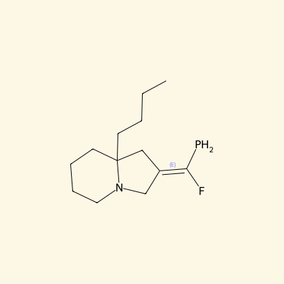 CCCCC12CCCCN1C/C(=C(\F)P)C2